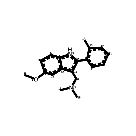 COc1ccc2[nH]c(-c3ccccc3C)c(CN(C)C)c2c1